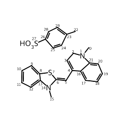 CN1CC=C(C=C2Sc3ccccc3N2C)c2ccccc21.Cc1ccc(S(=O)(=O)O)cc1